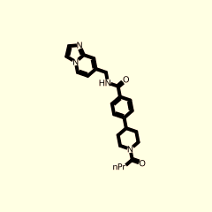 CCCC(=O)N1CCC(c2ccc(C(=O)NCc3ccn4ccnc4c3)cc2)CC1